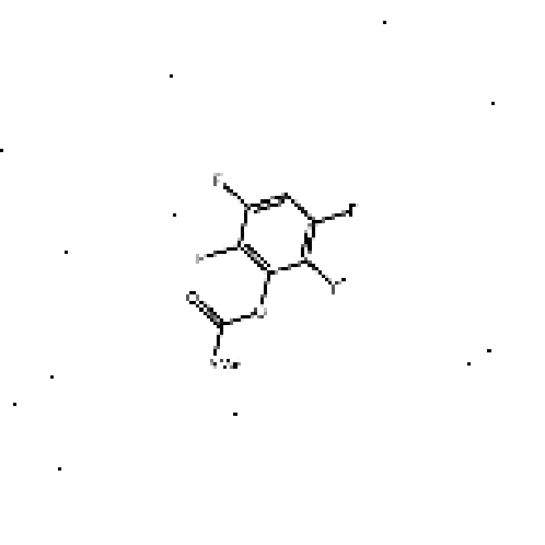 CSC(=O)Oc1c(F)c(F)cc(F)c1F